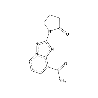 NC(=O)c1[c]ccn2nc(N3CCCC3=O)nc12